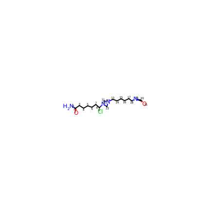 NC(=O)CCCCCC(Cl)N1CN(CCCCCCN=C=O)C1